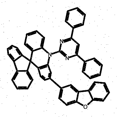 c1ccc(-c2cc(-c3ccccc3)nc(N3c4ccccc4C4(c5ccccc5-c5ccccc54)c4ccc(-c5ccc6oc7ccccc7c6c5)cc43)n2)cc1